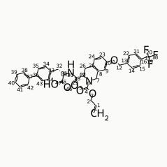 C=CCOC(=O)N1Cc2cc(OCc3ccc(C(F)(F)F)cc3)ccc2C[C@H]1C(=O)N[C@@H](Cc1ccc(-c2ccccc2)cc1)C(=O)O